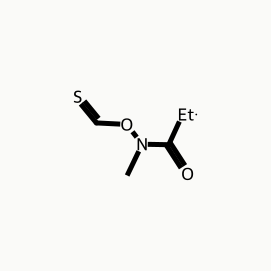 C[CH]C(=O)N(C)OC=S